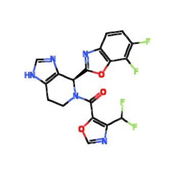 O=C(c1ocnc1C(F)F)N1CCc2[nH]cnc2[C@H]1c1nc2ccc(F)c(F)c2o1